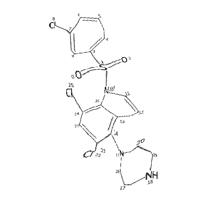 O=S(=O)(c1cccc(Cl)c1)n1ccc2c(N3CCNCC3)c(Cl)cc(Cl)c21